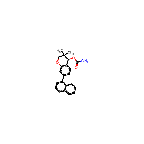 CC1(C)COc2cc(-c3cccc4ccccc34)ccc2C1OC(N)=O